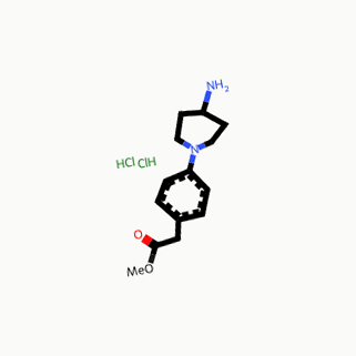 COC(=O)Cc1ccc(N2CCC(N)CC2)cc1.Cl.Cl